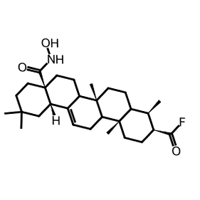 C[C@@H]1C2CC[C@@]3(C)C4CC[C@@]5(C(=O)NO)CCC(C)(C)C[C@H]5C4=CCC3[C@@]2(C)CC[C@@H]1C(=O)F